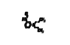 CCCN(CCC)c1cccc(NC=O)c1